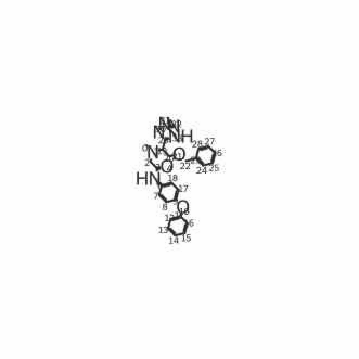 CN(CC(=O)Nc1ccc(Oc2ccccc2)cc1)C(COCc1ccccc1)c1nnn[nH]1